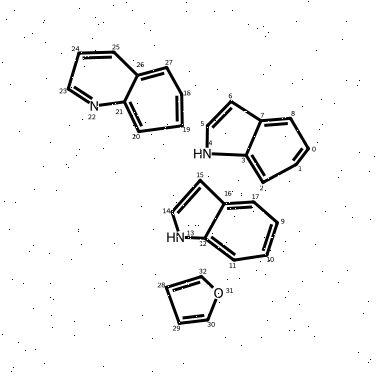 c1ccc2[nH]ccc2c1.c1ccc2[nH]ccc2c1.c1ccc2ncccc2c1.c1ccoc1